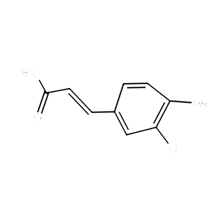 CC(=O)C=Cc1ccc(O)c(Cl)c1